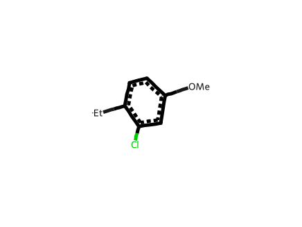 C[CH]c1ccc(OC)cc1Cl